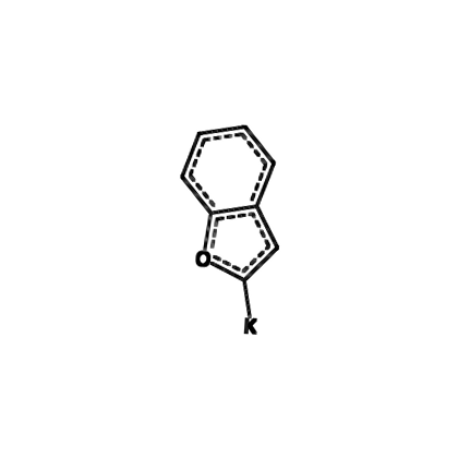 [K][c]1cc2ccccc2o1